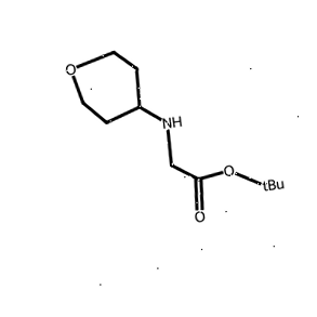 CC(C)(C)OC(=O)CNC1CCOCC1